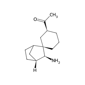 CC(=O)[C@H]1CCC[C@]2(C1)C1CC[C@H](C1)[C@@H]2N